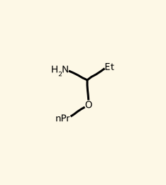 [CH2]CC(N)OCCC